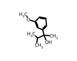 COc1cccc(C(C)(O)C(C)C)c1